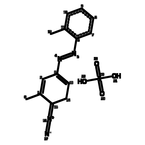 CC1=CC(N=Nc2ccccc2C)=CCC1=[N+]=[N-].O=S(=O)(O)O